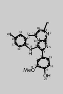 COc1cc(-c2nc3nc(C)cc(C)n3c2Nc2ccc(I)cc2)ccc1O